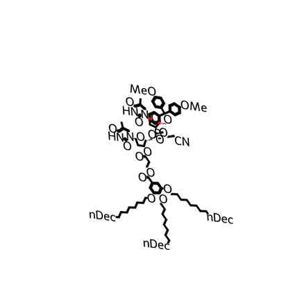 CCCCCCCCCCCCCCCCCCOc1cc(C(=O)OCCC(=O)O[C@H]2C[C@H](n3cc(C)c(=O)[nH]c3=O)O[C@@H]2COP(=O)(OCCC#N)[C@H]2C[C@H](n3cc(C)c(=O)[nH]c3=O)O[C@@H]2COC(c2ccccc2)(c2ccc(OC)cc2)c2ccc(OC)cc2)cc(OCCCCCCCCCCCCCCCCCC)c1OCCCCCCCCCCCCCCCCCC